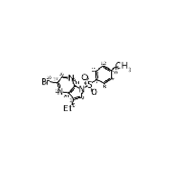 CCc1cn(S(=O)(=O)c2ccc(C)cc2)c2ncc(Br)nc12